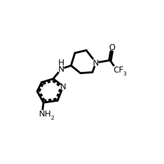 Nc1ccc(NC2CCN(C(=O)C(F)(F)F)CC2)nc1